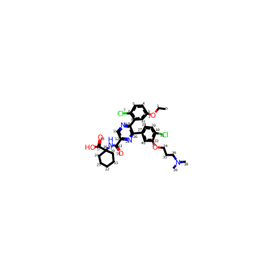 CCOc1ccc(Cl)c(-c2ncc(C(=O)NC3(C(=O)O)CCCCC3)nc2-c2ccc(Cl)c(OCCCN(C)C)c2)c1